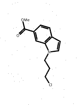 COC(=O)c1ccc2ccn(CCCCl)c2c1